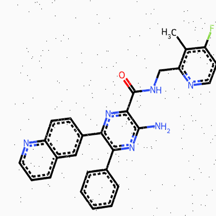 Cc1c(F)ccnc1CNC(=O)c1nc(-c2ccc3ncccc3c2)c(-c2ccccc2)nc1N